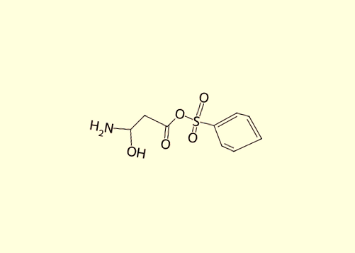 NC(O)CC(=O)OS(=O)(=O)c1ccccc1